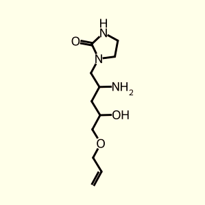 C=CCOCC(O)CC(N)CN1CCNC1=O